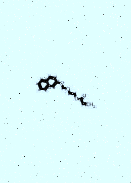 C=CC(=O)OCCOCSc1ccc2ccccc2c1